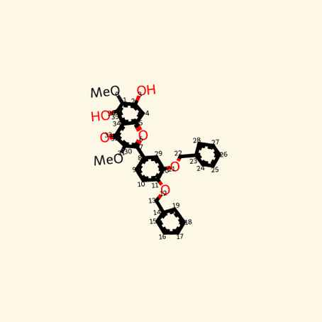 COc1c(O)cc2oc(-c3ccc(OCc4ccccc4)c(OCc4ccccc4)c3)c(OC)c(=O)c2c1O